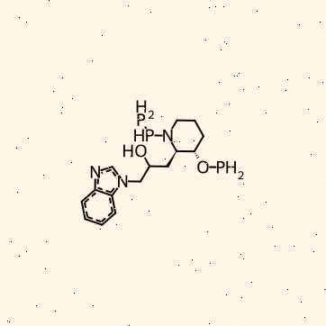 OC(C[C@@H]1[C@@H](OP)CCCN1PP)Cn1cnc2ccccc21